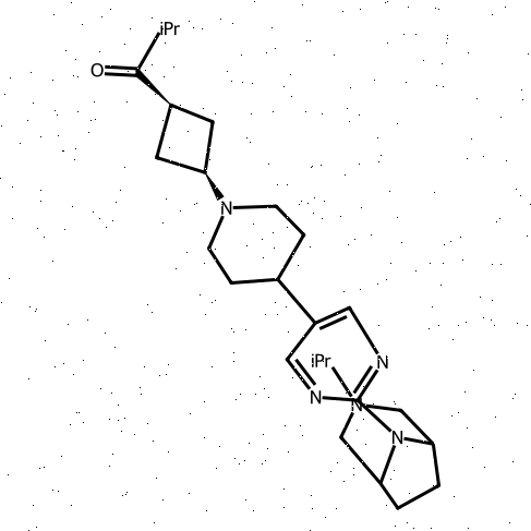 CC(C)C(=O)[C@H]1C[C@@H](N2CCC(c3cnc(N4C5CCC4CN(C(C)C)C5)nc3)CC2)C1